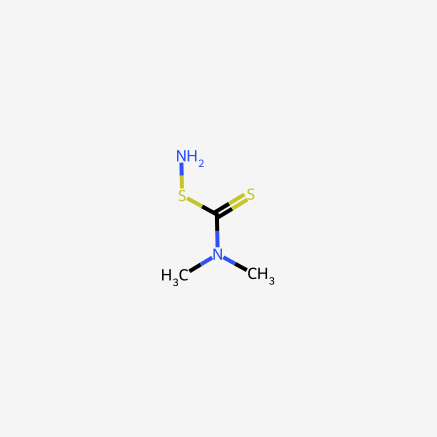 CN(C)C(=S)SN